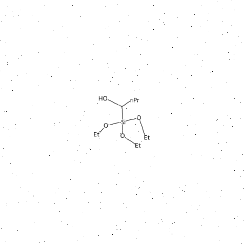 CCCC(O)[Si](OCC)(OCC)OCC